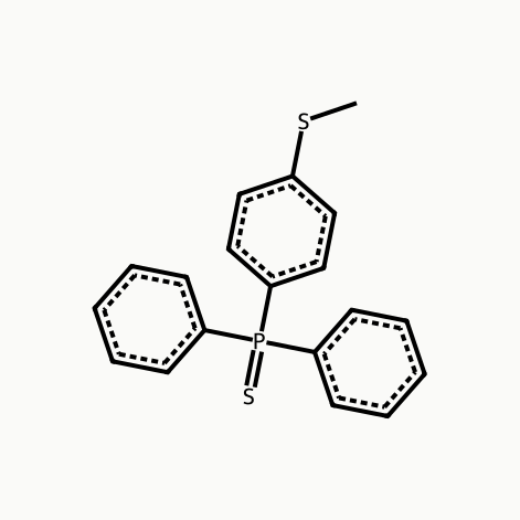 CSc1ccc(P(=S)(c2ccccc2)c2ccccc2)cc1